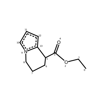 CCOC(=O)C1CCCn2cccc21